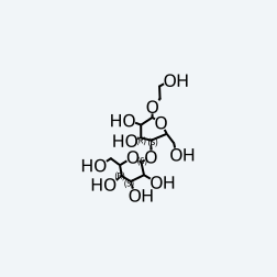 OCCOC1OC(CO)[C@@H](O[C@@H]2OC(CO)[C@H](O)[C@H](O)C2O)[C@H](O)C1O